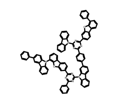 c1ccc(-c2ccc3c(c2)c2ccccc2n3-c2cccc3c2oc2cc(-c4nc(-c5ccccc5)nc(-n5c6ccccc6c6ccc(-c7ccc(-c8nc(-c9ccc%10c(c9)oc9c(-c%11ccccc%11)cccc9%10)nc(-n9c%10ccccc%10c%10ccccc%109)n8)cc7)cc65)n4)ccc23)cc1